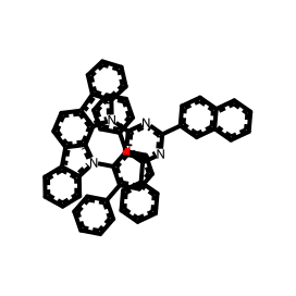 c1ccc(-c2nc(-c3ccc4ccccc4c3)nc(-n3c4ccccc4c4ccc5c6ccccc6n(-c6c(-c7ccccc7)cccc6-c6ccccc6)c5c43)n2)cc1